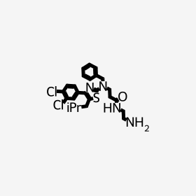 CC(C)Cc1sc(N(CCC(=O)NCCN)Cc2ccccc2)nc1-c1ccc(Cl)c(Cl)c1